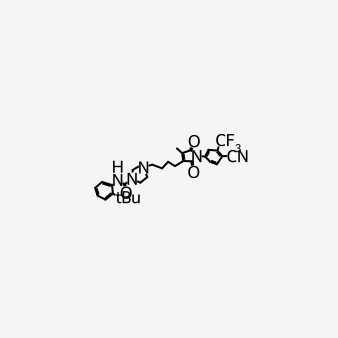 CC1=C(CCCCN2CCN(C(=O)Nc3ccccc3C(C)(C)C)CC2)C(=O)N(c2ccc(C#N)c(C(F)(F)F)c2)C1=O